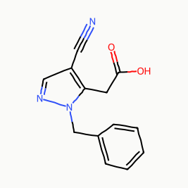 N#Cc1cnn(Cc2ccccc2)c1CC(=O)O